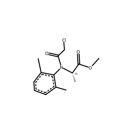 COC(=O)[C@H](C)N(C(=O)CCl)c1c(C)cccc1C